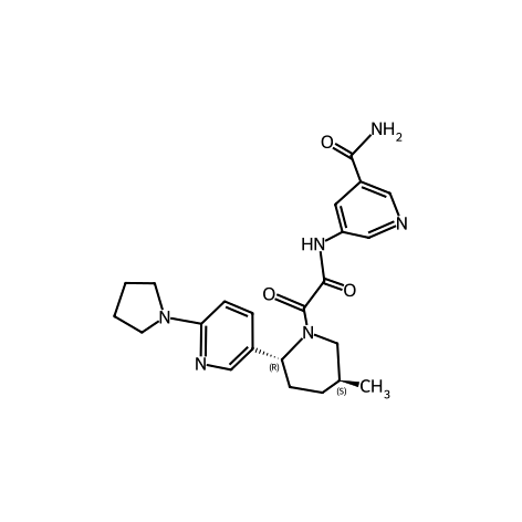 C[C@H]1CC[C@H](c2ccc(N3CCCC3)nc2)N(C(=O)C(=O)Nc2cncc(C(N)=O)c2)C1